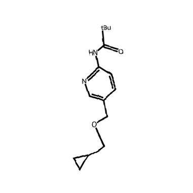 CC(C)(C)C(=O)Nc1ccc(COCC2CC2)cn1